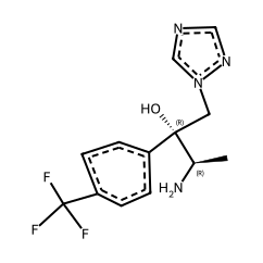 C[C@@H](N)[C@](O)(Cn1cncn1)c1ccc(C(F)(F)F)cc1